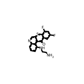 NCCNc1cccc2ncc3sc4c(F)cc(F)cc4c(=O)c3c12